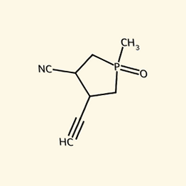 C#CC1CP(C)(=O)CC1C#N